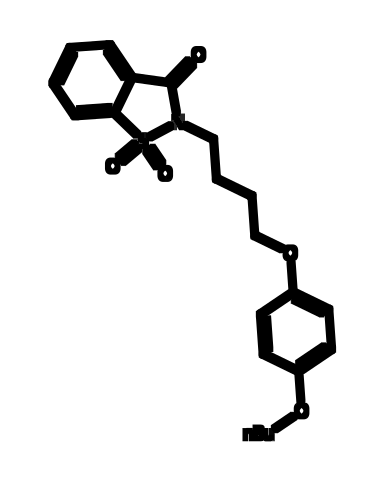 CCCCOc1ccc(OCCCCN2C(=O)c3ccccc3S2(=O)=O)cc1